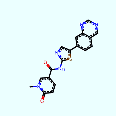 Cn1cc(C(=O)Nc2ncc(-c3ccc4cncnc4c3)s2)ccc1=O